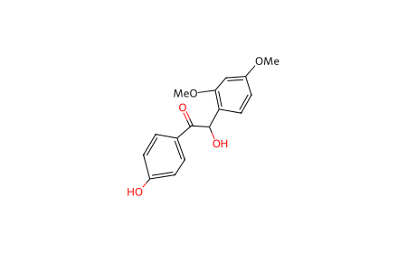 COc1ccc(C(O)C(=O)c2ccc(O)cc2)c(OC)c1